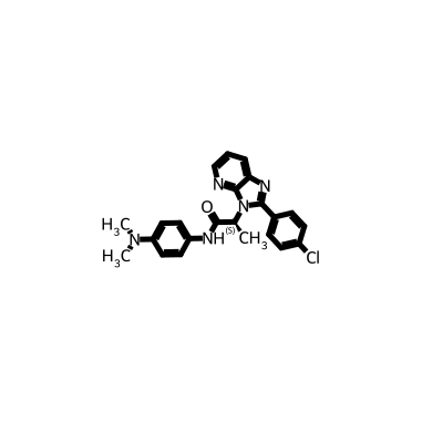 C[C@@H](C(=O)Nc1ccc(N(C)C)cc1)n1c(-c2ccc(Cl)cc2)nc2cccnc21